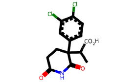 CC(C(=O)O)C1(c2ccc(Cl)c(Cl)c2)CCC(=O)NC1=O